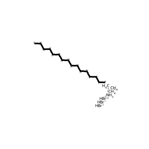 Br.Br.Br.C.C.C.CCCCCCCCCCCCCCCC.N